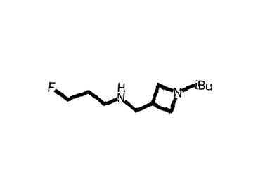 CCC(C)N1CC(CNCCCF)C1